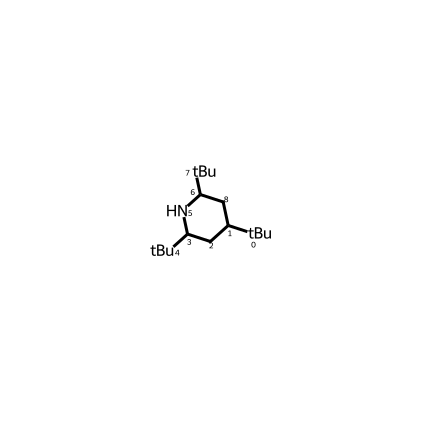 CC(C)(C)C1CC(C(C)(C)C)NC(C(C)(C)C)C1